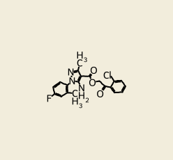 Cc1cc(F)ccc1-n1nc(C)c(C(=O)OCC(=O)c2ccccc2Cl)c1N